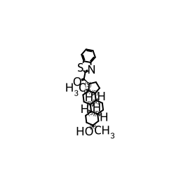 C[C@@]1(O)CC[C@H]2[C@H](CC[C@@H]3[C@@H]2CC[C@]2(C)[C@@H](C(=O)c4nc5ccccc5s4)CC[C@@H]32)C1